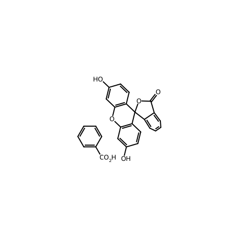 O=C(O)c1ccccc1.O=C1OC2(c3ccc(O)cc3Oc3cc(O)ccc32)c2ccccc21